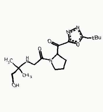 CC(C)(CO)NCC(=O)N1CCCC1C(=O)c1nnc(C(C)(C)C)o1